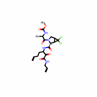 C=CCCC(NC(=O)[C@@H]1C2C(CN1C(=O)C(NC(=O)OC(C)(C)C)C(C)(C)C)C2(Cl)Cl)C(=O)C(=O)NCC=C